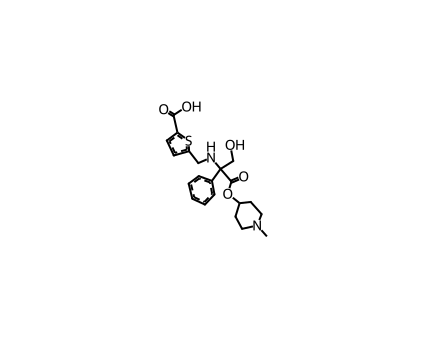 CN1CCC(OC(=O)C(CO)(NCc2ccc(C(=O)O)s2)c2ccccc2)CC1